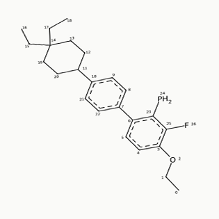 CCOc1ccc(-c2ccc(C3CCC(CC)(CC)CC3)cc2)c(P)c1F